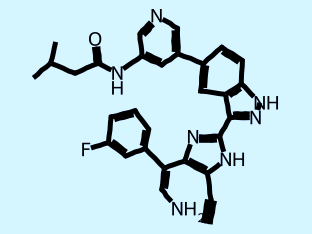 C#Cc1[nH]c(-c2n[nH]c3ccc(-c4cncc(NC(=O)CC(C)C)c4)cc23)nc1/C(=C\N)c1cccc(F)c1